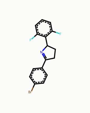 Fc1cccc(F)c1C1CCC(c2ccc(Br)cc2)=N1